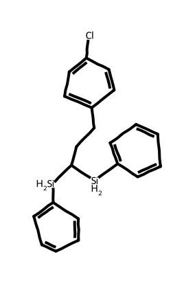 Clc1ccc(CCC([SiH2]c2ccccc2)[SiH2]c2ccccc2)cc1